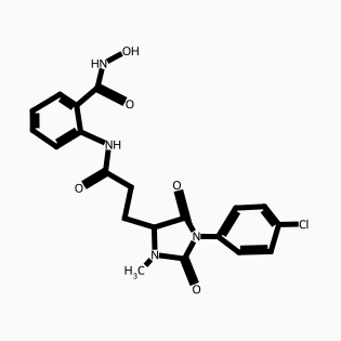 CN1C(=O)N(c2ccc(Cl)cc2)C(=O)C1CCC(=O)Nc1ccccc1C(=O)NO